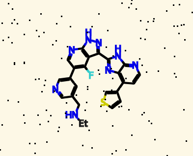 CCNCc1cncc(-c2cnc3[nH]nc(-c4nc5c(-c6ccsc6)ccnc5[nH]4)c3c2F)c1